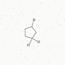 [O]C1CCC(Cl)(Cl)C1